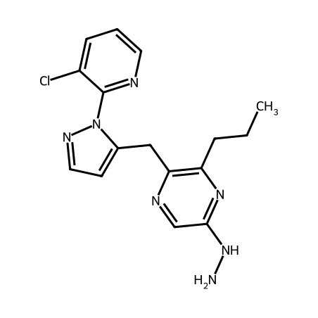 CCCc1nc(NN)cnc1Cc1ccnn1-c1ncccc1Cl